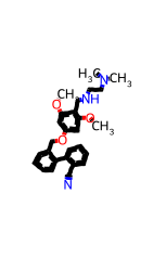 COc1cc(OCc2ccccc2-c2ccccc2C#N)cc(OC)c1CNCCN(C)C